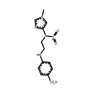 Cn1cnc(N(CCNc2ccc(C(=O)O)cc2)[SH](=O)=O)c1